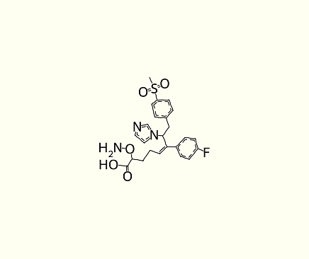 CS(=O)(=O)c1ccc(CC(/C(=C\CCC(ON)C(=O)O)c2ccc(F)cc2)n2ccnc2)cc1